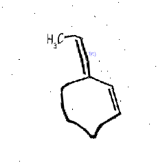 C/C=C1/C=CCCC1